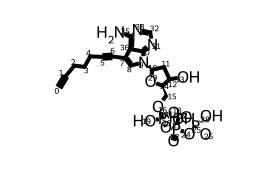 C#CCCCC#Cc1cn([C@H]2CC(O)[C@@H](COP(=O)(O)OP(=O)(O)OP(=O)(O)O)O2)c2ncnc(N)c12